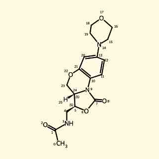 CC(=O)NC[C@@H]1OC(=O)N2c3ccc(N4CCOCC4)cc3OC[C@@H]12